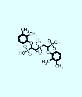 Cc1cccc(OC(C[N+](C)(C)CC(Oc2cccc(C)c2C)S(=O)(=O)O)S(=O)(=O)O)c1C